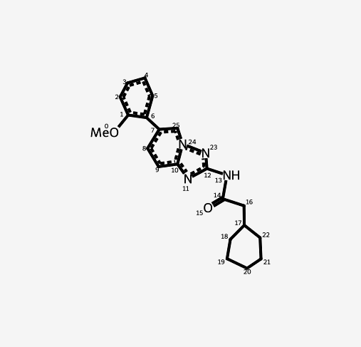 COc1ccccc1-c1ccc2nc(NC(=O)CC3CCCCC3)nn2c1